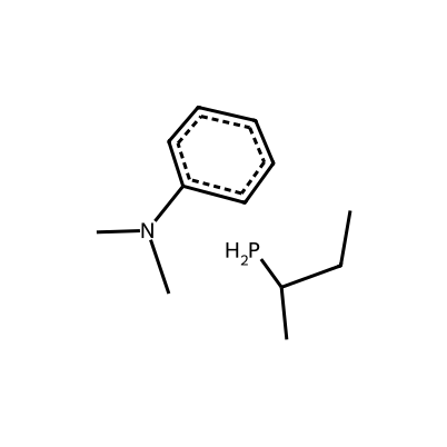 CCC(C)P.CN(C)c1ccccc1